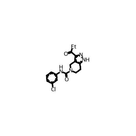 CCC(=O)c1n[nH]c2c1CN(C(=O)Nc1cccc(Cl)c1)CC2